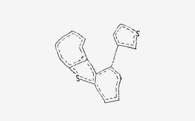 c1ccc2c(c1)sc1cccc(-c3ccsc3)c12